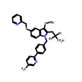 CCC(CC)(Cc1c(SC(C)(C)C)c2cc(SCc3ccccn3)ccc2n1Cc1ccc(-c2ccc(C(F)(F)F)cn2)cc1)C(=O)O